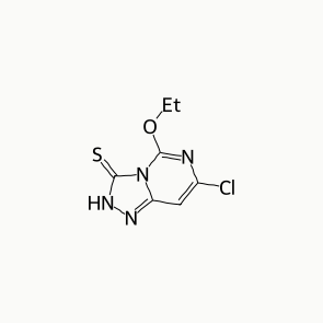 CCOc1nc(Cl)cc2n[nH]c(=S)n12